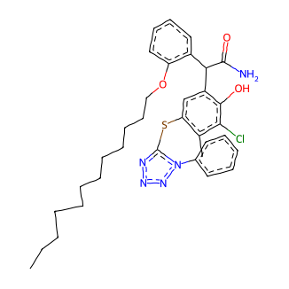 CCCCCCCCCCCCOc1ccccc1C(C(N)=O)c1cc(Sc2nnnn2-c2ccccc2)c(C)c(Cl)c1O